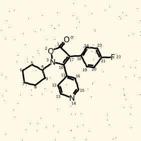 O=c1on(C2CCCCC2)c(-c2ccncc2)c1-c1ccc(F)cc1